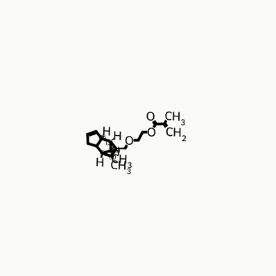 C=C(C)C(=O)OCCOC[C@H]1[C@H](C)[C@@H]2C3CC=C[C@@H]3[C@@H]1[C@@H]2C